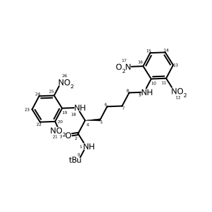 CC(C)(C)NC(=O)[C@H](CCCCNc1c([N+](=O)[O-])cccc1[N+](=O)[O-])Nc1c([N+](=O)[O-])cccc1[N+](=O)[O-]